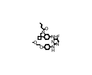 CC=CC(=O)N1CC2(CCC2)c2ccc(Nc3nc(Nc4ccc(OCCOC)cc4)ncc3F)cc21